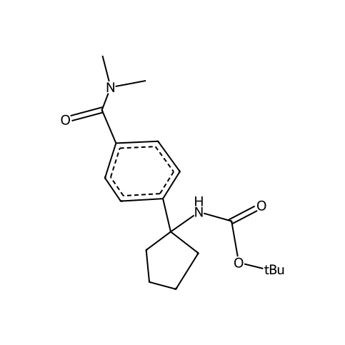 CN(C)C(=O)c1ccc(C2(NC(=O)OC(C)(C)C)CCCC2)cc1